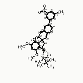 COc1cc(OC)c(Cl)c(C2(CCCO[Si](C)(C)C(C)(C)C)C=c3ncc(-c4cc(C)[c]c([N+](=O)[O-])c4)cc3=NC2=O)c1Cl